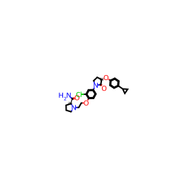 NC(=O)[C@@H]1CCCN1CCOc1ccc(N2CC[C@H](Oc3ccc(C4CC4)cc3)C2=O)cc1Cl